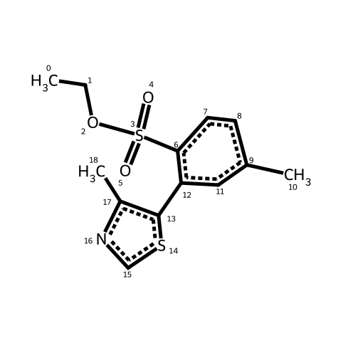 CCOS(=O)(=O)c1ccc(C)cc1-c1scnc1C